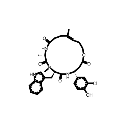 C/C1=C\CCOC(=O)C[C@H](c2ccc(O)c(Cl)c2)NC(=O)[C@@H](Cc2c[nH]c3ccccc23)N(C)C(=O)[C@H](C)NC(=O)CC1